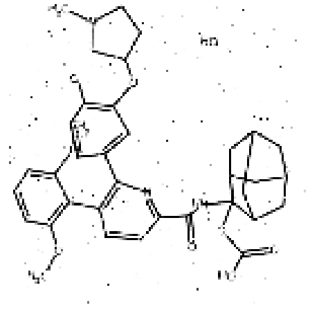 COc1cccc(OC)c1-c1ccc(C(=O)NC2(OC(=O)O)C3CC4CC(C3)CC2C4)nc1-c1ccc(Cl)c(OC2CCN(C)C2)c1.Cl